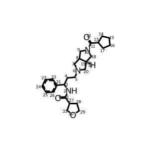 O=C(NC(CCN1CC2CN(C(=O)C3CCCC3)C[C@@H]2C1)c1ccccc1)C1CCOC1